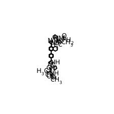 COC(=O)N[C@H](C(=O)N1CCC[C@H]1c1ncc(-c2ccc(-c3ccc(-c4cnc([C@@H]5CCCN5C(=O)[C@@H](NC(=O)P)C(C)C)[nH]4)c4c3CCCC4)cc2)[nH]1)C(C)C